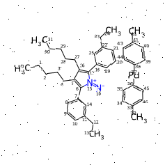 CCCCCC1=C(c2cccc(CC)c2)[N+](=[N-])C(c2cccc(CC)c2)=C1CCCCC.Cc1cc[c]([Pd][c]2ccc(C)cc2)cc1